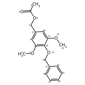 COc1cc(COC(C)=O)cc(OC)c1OCc1ccccc1